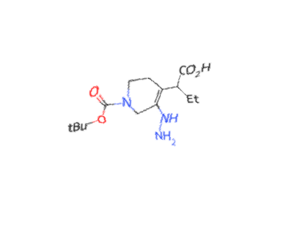 CCC(C(=O)O)C1=C(NN)CN(C(=O)OC(C)(C)C)CC1